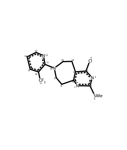 CSc1nc(Cl)c2c(n1)CCN(c1ncccc1C(F)(F)F)CC2